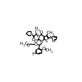 COCCOC(Cn1c(=O)n(C(C)C(=O)N2CCCC2)c(=O)c2c(C)c(-n3cccn3)sc21)c1cc(F)ccc1OC